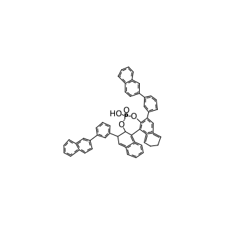 O=P1(O)Oc2c(-c3cccc(-c4ccc5ccccc5c4)c3)cc3c(c2C2=c4ccccc4=CC(c4cccc(-c5ccc6ccccc6c5)c4)C2O1)=CCCC=3